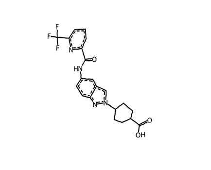 O=C(Nc1ccc2nn(C3CCC(C(=O)O)CC3)cc2c1)c1cccc(C(F)(F)F)n1